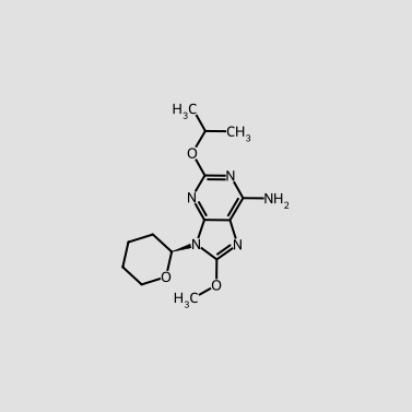 COc1nc2c(N)nc(OC(C)C)nc2n1[C@@H]1CCCCO1